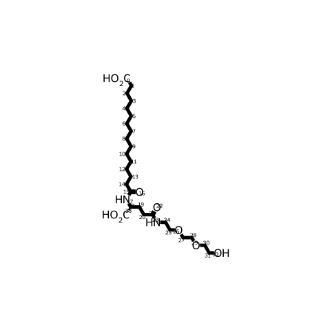 O=C(O)CCCCCCCCCCCCCCC(=O)N[C@@H](CCC(=O)NCCOCCOCCO)C(=O)O